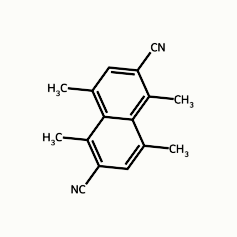 Cc1cc(C#N)c(C)c2c(C)cc(C#N)c(C)c12